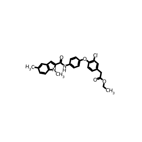 CCOC(=O)Cc1ccc(Oc2ccc(NC(=O)c3cc4cc(C)ccc4n3C)cc2)c(Cl)c1